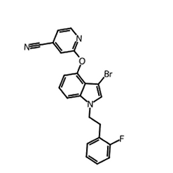 N#Cc1ccnc(Oc2cccc3c2c(Br)cn3CCc2ccccc2F)c1